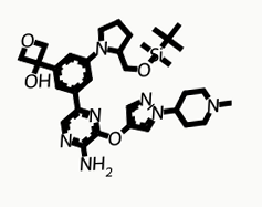 CN1CCC(n2cc(Oc3nc(-c4cc(N5CCCC5CO[Si](C)(C)C(C)(C)C)cc(C5(O)COC5)c4)cnc3N)cn2)CC1